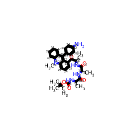 C[C@H](NC(=O)OC(C)(C)C)C(=O)N[C@@H](C)C(=O)N[C@@H](C)C(=O)C1C=CC=C2C1=C(c1ccc(N)cc1)c1ccccc1N2C